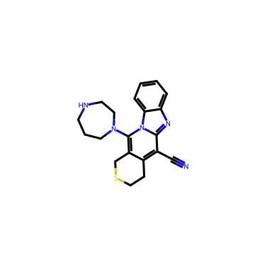 N#Cc1c2c(c(N3CCCNCC3)n3c1nc1ccccc13)CSCC2